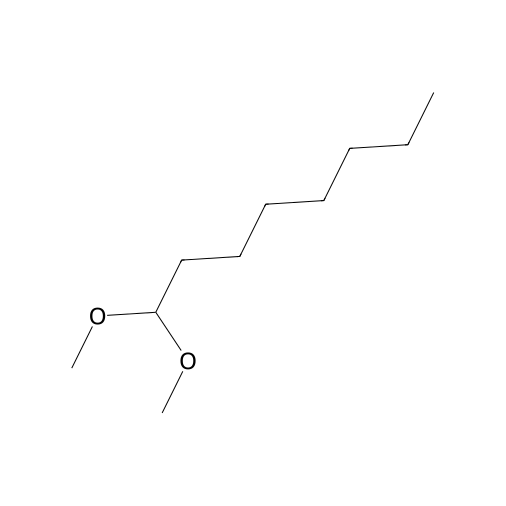 CCCCCCCC(OC)OC